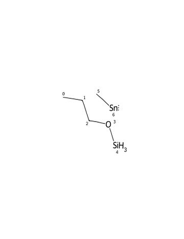 CCCO[SiH3].[CH3][Sn]